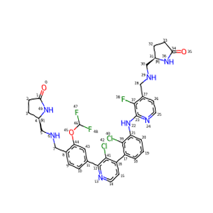 O=C1CC[C@H](CNCc2ccc(-c3nccc(-c4cccc(Nc5nccc(CNC[C@H]6CCC(=O)N6)c5F)c4Cl)c3Cl)cc2OC(F)F)N1